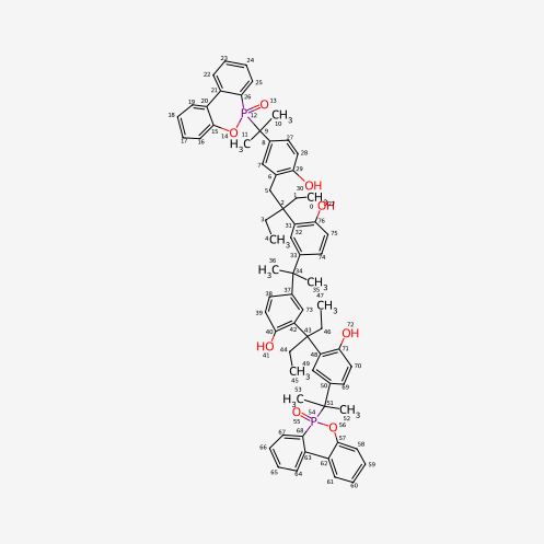 CCC(CC)(Cc1cc(C(C)(C)P2(=O)Oc3ccccc3-c3ccccc32)ccc1O)c1cc(C(C)(C)c2ccc(O)c(C(CC)(CC)c3cc(C(C)(C)P4(=O)Oc5ccccc5-c5ccccc54)ccc3O)c2)ccc1O